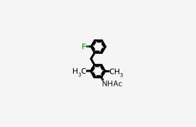 CC(=O)Nc1cc(C)c(Cc2ccccc2F)cc1C